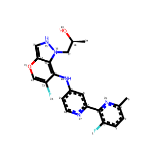 Cc1ccc(F)c(-c2cc(NC3=C4C(=CNN4C[C@H](C)O)OC=C3F)ccn2)n1